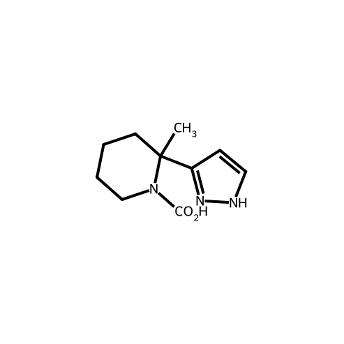 CC1(c2cc[nH]n2)CCCCN1C(=O)O